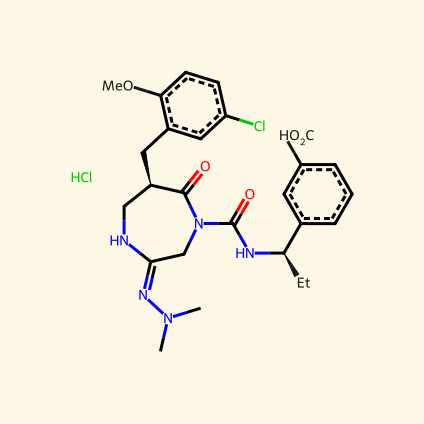 CC[C@@H](NC(=O)N1C/C(=N\N(C)C)NC[C@@H](Cc2cc(Cl)ccc2OC)C1=O)c1cccc(C(=O)O)c1.Cl